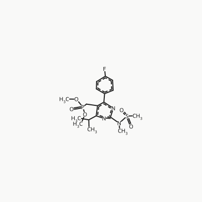 COP(=O)(Cc1c(-c2ccc(F)cc2)nc(N(C)S(C)(=O)=O)nc1C(C)C)OC